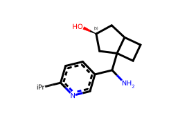 CC(C)c1ccc(C(N)C23CCC2C[C@H](O)C3)cn1